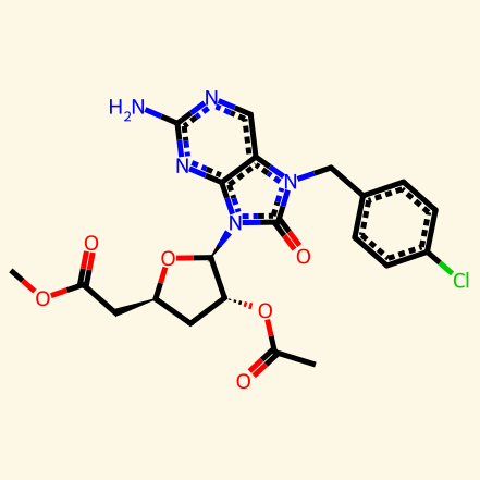 COC(=O)C[C@@H]1C[C@@H](OC(C)=O)[C@H](n2c(=O)n(Cc3ccc(Cl)cc3)c3cnc(N)nc32)O1